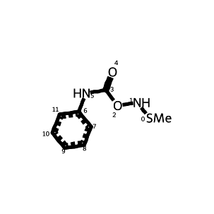 CSNOC(=O)Nc1ccccc1